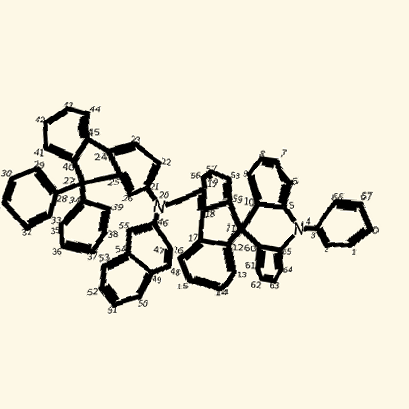 c1ccc(N2c3ccccc3C3(c4ccccc4-c4c(N(c5ccc6c(c5)C(c5ccccc5)(c5ccccc5)c5ccccc5-6)c5ccc6ccccc6c5)cccc43)c3ccccc32)cc1